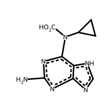 Nc1nc(N(C(=O)O)C2CC2)c2[nH]cnc2n1